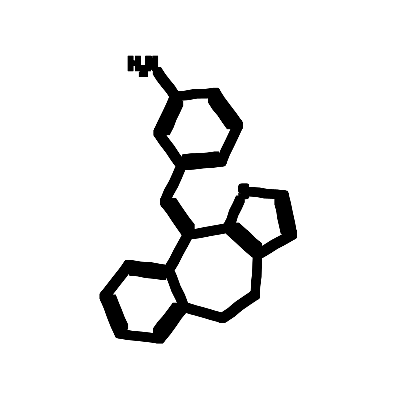 Nc1cccc(C=C2c3ccccc3CCc3ccsc32)c1